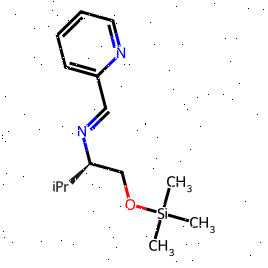 CC(C)[C@H](CO[Si](C)(C)C)N=Cc1ccccn1